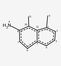 Cc1cccc2ccc(N)c(C)c12